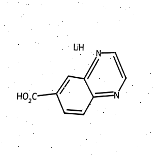 O=C(O)c1ccc2nccnc2c1.[LiH]